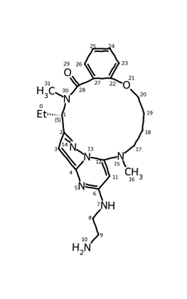 CC[C@H]1c2cc3nc(NCCN)cc(n3n2)N(C)CCCCOc2ccccc2C(=O)N1C